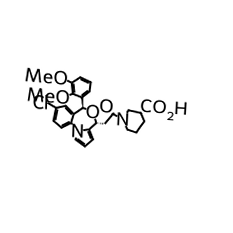 COc1cccc([C@H]2O[C@H](CC(=O)N3CCC[C@H](C(=O)O)C3)c3cccn3-c3ccc(Cl)cc32)c1OC